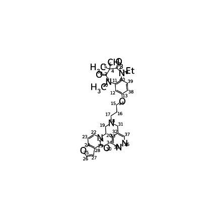 CCN1C(=O)C(C)(C)C(=O)N(C)c2cc(OCCCN(CCn3ccc4occc4c3=O)Cc3ccnnc3)ccc21